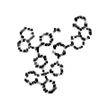 Cc1ccc(N(c2ccc(C3(c4cccc(-c5cccc(C6=Nc7c(ccc8cccnc78)CC6)c5)c4)c4ccccc4-c4ccccc43)cc2)c2cccc3ccccc23)cc1